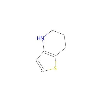 [c]1cc2c(s1)CCCN2